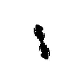 CCC[C@H](NC(=O)OC(C)(C)C)C(=O)N1CCCC1c1nc2cc(C#Cc3ccc4[nH]c([C@@H]5CCCN5C(=O)[C@H](CCC)NC(=O)OC(C)(C)C)nc4c3)ccc2[nH]1